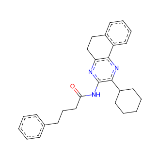 O=C(CCCc1ccccc1)Nc1nc2c(nc1C1CCCCC1)-c1ccccc1CC2